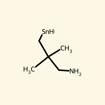 CC(C)(CN)[CH2][SnH]